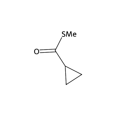 [CH2]SC(=O)C1CC1